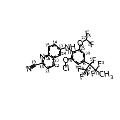 CC(F)(F)C(F)(c1cc(OCl)c(Nc2ccc3nc(C#N)ccc3c2)c(OC(F)F)c1)C(F)(F)F